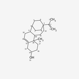 C=C(C)C12CCC(CC1)C1CC=C3CC(O)CCC3(C)C1CC2